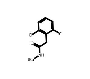 CC(C)(C)NC(=O)Cc1c(Cl)cccc1Cl